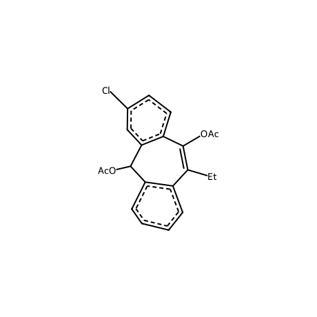 CCC1=C(OC(C)=O)c2ccc(Cl)cc2C(OC(C)=O)c2ccccc21